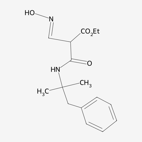 CCOC(=O)C(C=NO)C(=O)NC(C)(C)Cc1ccccc1